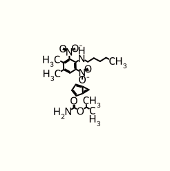 CC(C)OC(N)=O.CCCCCNc1c([N+](=O)[O-])cc(C)c(C)c1[N+](=O)[O-].c1cc2cc-2c1